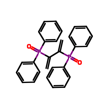 C=C(C(=C)P(=O)(c1ccccc1)c1ccccc1)P(=O)(c1ccccc1)c1ccccc1